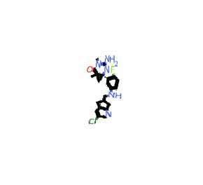 CN1C(=O)C2(C)C[C@]2(c2cc(NCC3Cc4cc(Cl)cnc4C3)ccc2F)N=C1N